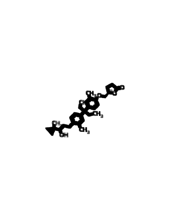 CCC(CC)(c1ccc(CCC(O)C2(C)CC2)c(C)c1)c1ccc(OC[C@H]2CCC(=O)O2)c(C)c1